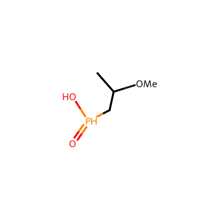 COC(C)C[PH](=O)O